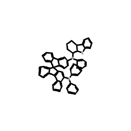 c1ccc(N(c2ccccc2)c2cc3c(c4ccccc24)-c2ccccc2C32c3ccccc3-c3cc(N(c4ccccc4)C4CCCC5c6ccccc6SC54)ccc32)cc1